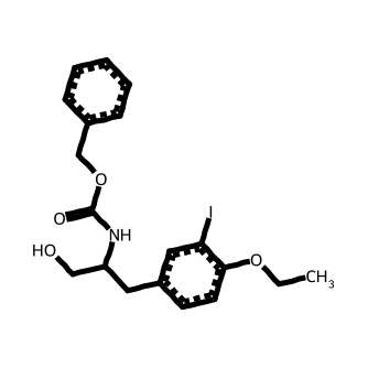 CCOc1ccc(CC(CO)NC(=O)OCc2ccccc2)cc1I